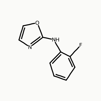 Fc1ccccc1Nc1ncco1